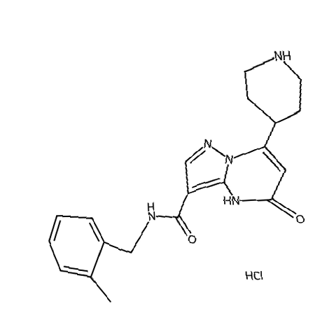 Cc1ccccc1CNC(=O)c1cnn2c(C3CCNCC3)cc(=O)[nH]c12.Cl